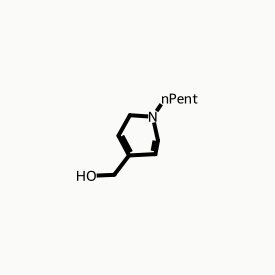 CCCCCN1C=CC(CO)=CC1